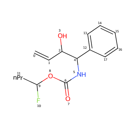 C=CC(O)C(NC(=O)OC(F)CCC)c1ccccc1